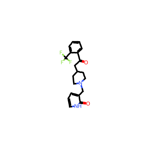 O=C(CC1CCN(Cc2ccc[nH]c2=O)CC1)c1ccccc1C(F)(F)F